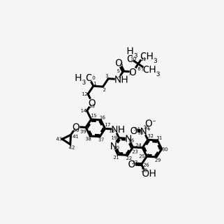 CC(CCNC(=O)OC(C)(C)C)COCc1cc(Nc2nccc(-c3c(C(=O)O)cccc3[N+](=O)[O-])n2)ccc1OC1CC1